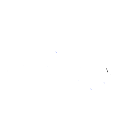 C=CC(=O)Nc1cc(Nc2cc(N3OCC[C@@H]3c3cc(F)cc(F)c3)ncn2)c(OC)cc1N1CCC(N2CCO[C@@H](C)C2)CC1